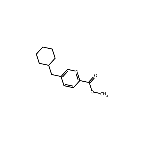 COC(=O)c1ccc(CC2CCCCC2)cn1